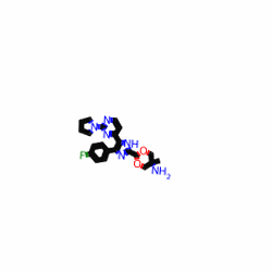 CC1(N)COC(c2nc(-c3ccc(F)cc3)c(-c3ccnc(N4CCCC4)n3)[nH]2)OC1